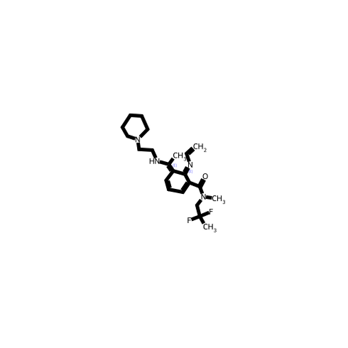 C=C/N=C1/C(C(=O)N(C)CC(C)(F)F)=CC=C/C1=C(/C)NCCN1CCCCC1